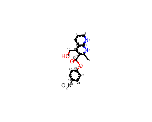 Cc1nc2ncccc2c(CO)c1C(=O)Oc1ccc([N+](=O)[O-])cc1